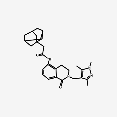 Cc1nn(C)c(C)c1CN1CCc2c(NC(=O)CC34CC5CC(CC(C5)C3)C4)cccc2C1=O